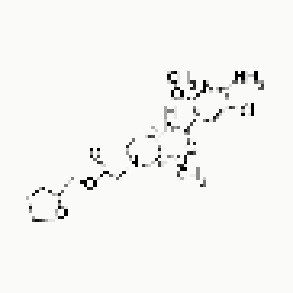 COc1nc(N)c(Cl)cc1C(=O)N[C@H]1CCN(CC(=O)OCC2CCCCO2)C[C@H]1OC